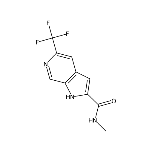 CNC(=O)c1cc2cc(C(F)(F)F)ncc2[nH]1